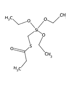 CCO[Si](CSC(=O)CC)(OCC)OCC